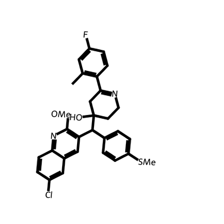 COc1nc2ccc(Cl)cc2cc1C(c1ccc(SC)cc1)C1(O)CCN=C(c2ccc(F)cc2C)C1